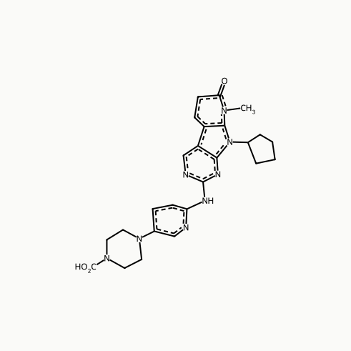 Cn1c(=O)ccc2c3cnc(Nc4ccc(N5CCN(C(=O)O)CC5)cn4)nc3n(C3CCCC3)c21